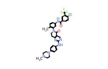 Cc1ccc(NC(=O)c2ccc(Cl)c(C(F)(F)F)c2)cc1N1CCc2nc(Nc3ccc(N4CCN(C)CC4)cc3)ncc2C1=O